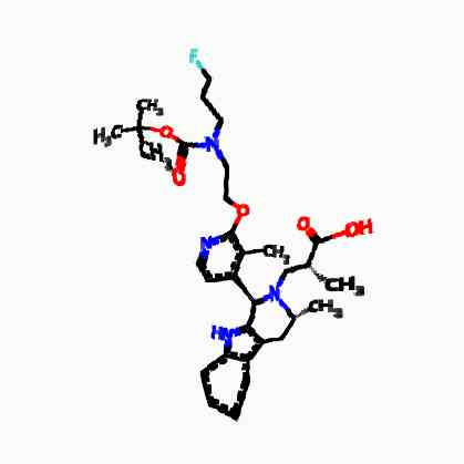 Cc1c([C@@H]2c3[nH]c4ccccc4c3C[C@@H](C)N2C[C@@H](C)C(=O)O)ccnc1OCCN(CCCF)C(=O)OC(C)(C)C